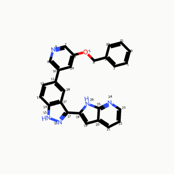 c1ccc(COc2cncc(-c3ccc4[nH]nc(-c5cc6cccnc6[nH]5)c4c3)c2)cc1